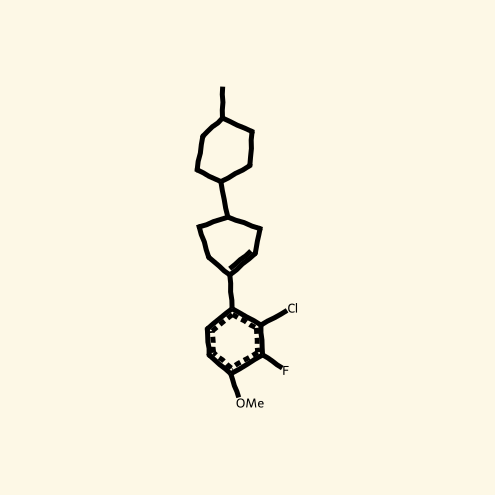 COc1ccc(C2=CCC(C3CCC(C)CC3)CC2)c(Cl)c1F